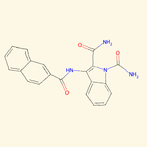 NC(=O)c1c(NC(=O)c2ccc3ccccc3c2)c2ccccc2n1C(N)=O